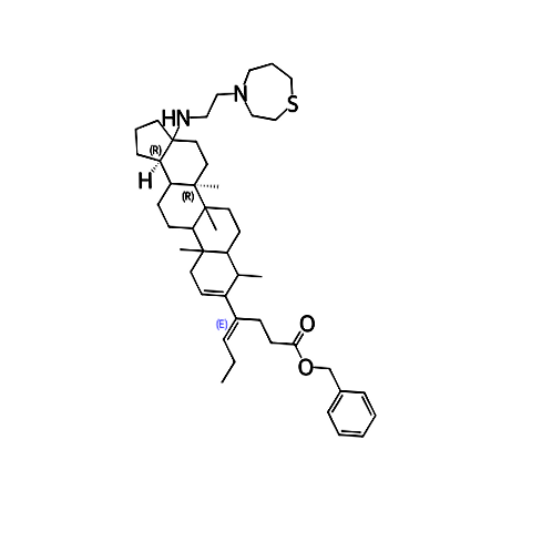 CC/C=C(\CCC(=O)OCc1ccccc1)C1=CCC2(C)C(CCC3(C)C2CCC2[C@H]4CCCC4(NCCN4CCCSCC4)CC[C@]23C)C1C